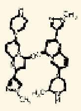 C[C@H]1CN(c2ccc3nc(-c4cnn(C)c4)cc(=O)n3c2)CCN1.Cn1cc(-c2cc(=O)n3cc(N4CCNCC4)ccc3n2)cn1